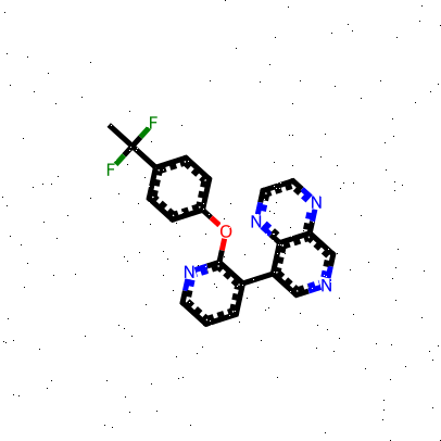 CC(F)(F)c1ccc(Oc2ncccc2-c2cncc3nccnc23)cc1